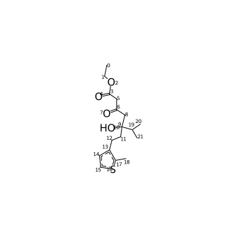 CCOC(=O)CC(=O)CC(O)(CCc1ccsc1C)C(C)C